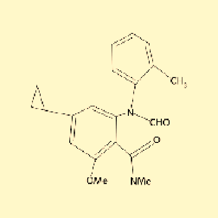 CNC(=O)c1c(OC)cc(C2CC2)cc1N(C=O)c1ccccc1C